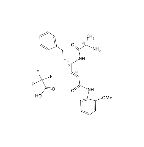 COc1ccccc1NC(=O)/C=C/[C@H](CCc1ccccc1)NC(=O)[C@H](C)N.O=C(O)C(F)(F)F